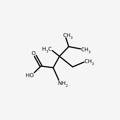 CCC(C)(C(C)C)C(N)C(=O)O